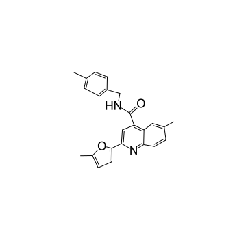 Cc1ccc(CNC(=O)c2cc(-c3ccc(C)o3)nc3ccc(C)cc23)cc1